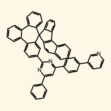 c1ccc(-c2cc(-c3ccc(-c4cccnc4)cc3)nc(-c3ccc4c(c3)C3(c5ccccc5-c5ccccc5-4)c4ccccc4-c4c3ccc3ccccc43)n2)cc1